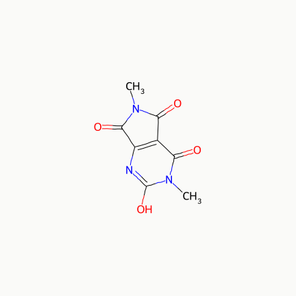 CN1C(=O)c2nc(O)n(C)c(=O)c2C1=O